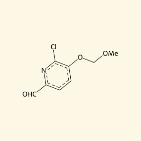 COCOc1ccc(C=O)nc1Cl